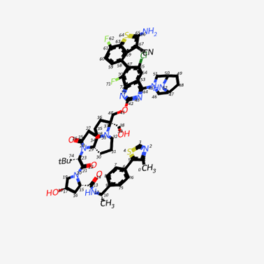 Cc1ncsc1-c1ccc([C@H](C)NC(=O)[C@@H]2C[C@@H](O)CN2C(=O)[C@@H](N2C(=O)CC[C@@H]2CCCN2CCC[C@@]2(CO)COc2nc(N3CC4CCC(C3)N4)c3cc(Cl)c(-c4ccc(F)c5sc(N)c(C#N)c45)c(F)c3n2)C(C)(C)C)cc1